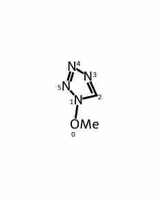 COn1cnnn1